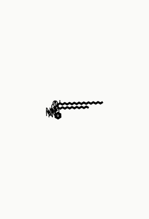 C=C(N(/N=N\N)c1ccccc1)S(=O)(=O)C(CCCCCCCCCCCCC)[C@H](OC)[C@@H](C)CCCCCCCCCCCCCCCCCC